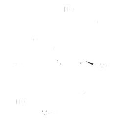 COC(=O)C(=C(C)C)N1C(=O)[C@H](C(C)O)[C@H]1SC